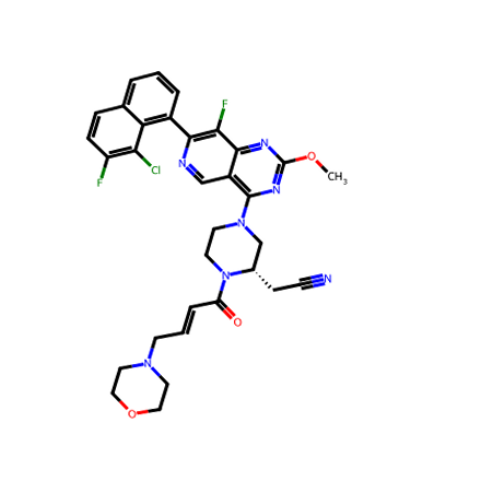 COc1nc(N2CCN(C(=O)/C=C/CN3CCOCC3)[C@@H](CC#N)C2)c2cnc(-c3cccc4ccc(F)c(Cl)c34)c(F)c2n1